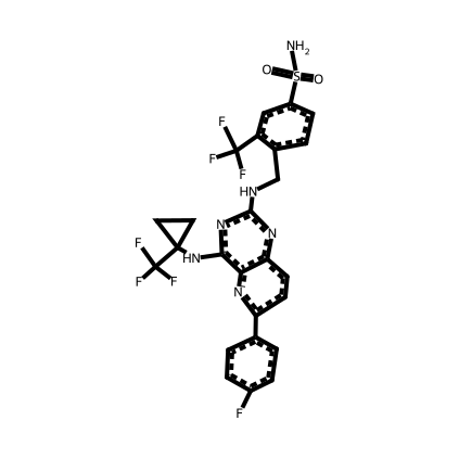 NS(=O)(=O)c1ccc(CNc2nc(NC3(C(F)(F)F)CC3)c3nc(-c4ccc(F)cc4)ccc3n2)c(C(F)(F)F)c1